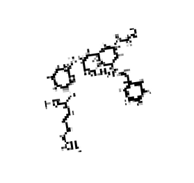 CCCCC[C@@H](O)C[C@@H]1CCCC(C[C@H](CC2C[C@H](OCc3ccccc3)C[C@@H](CC=O)O2)OC)O1